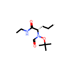 [CH2]CC[C@@H](C(=O)NCC)N(C=O)OC(C)(C)C